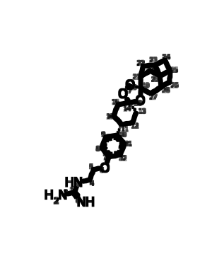 N=C(N)NCCOc1ccc([C@H]2CC[C@]3(CC2)OO[C@]2(O3)C3CC4CC5CC2CC45C3)cc1